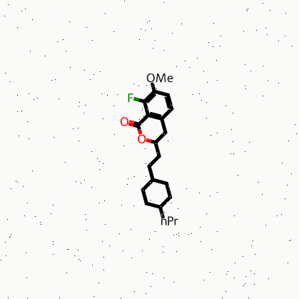 CCCC1CCC(CCC2Cc3ccc(OC)c(F)c3C(=O)O2)CC1